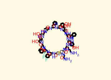 CCCC[C@H]1C(=O)N2C[C@H](O)C[C@@H]2C(=O)N[C@@H](CC(=O)O)C(=O)N[C@@H](C(C)C)C(=O)N(C)[C@@H](Cc2ccccc2)C(=O)N[C@@H](Cc2ccc(O)cc2)C(=O)N2C[C@H](O)C[C@H]2C(=O)N[C@@H](Cc2c[nH]c3ccccc23)C(=O)N[C@@H](Cc2ccc(O)cc2)C(=O)N[C@@H](CCCCN)C(=O)N[C@H](C(=O)NCC(N)=O)CSCC(=O)N[C@@H](Cc2cc(F)c(F)c(F)c2)C(=O)N(C)[C@@H](Cc2ccccc2)C(=O)N1C